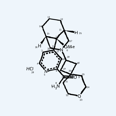 CO[C@]1(c2ccnc(C(N)=O)c2)[C@@H]2CCC[C@H]1CN(C1CC3(CCOCC3)C1)C2.Cl